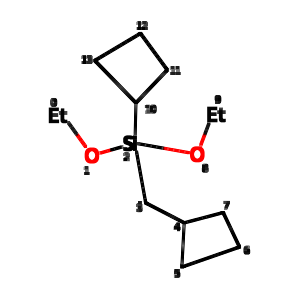 CCO[Si]([CH]C1CCC1)(OCC)C1CCC1